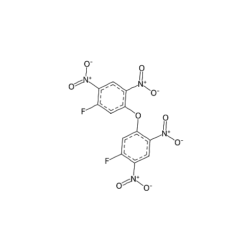 O=[N+]([O-])c1cc([N+](=O)[O-])c(Oc2cc(F)c([N+](=O)[O-])cc2[N+](=O)[O-])cc1F